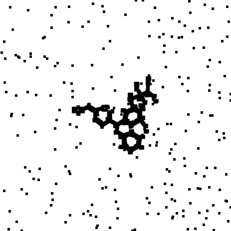 C=C(/C=C\C(Cl)=C/N)C(Cc1ccccc1)c1cc(F)cc(OC(F)(F)C(F)F)c1